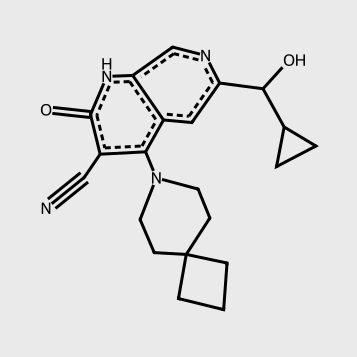 N#Cc1c(N2CCC3(CCC3)CC2)c2cc(C(O)C3CC3)ncc2[nH]c1=O